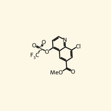 COC(=O)c1cc(Cl)c2nccc(OS(=O)(=O)C(F)(F)F)c2c1